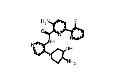 Nc1ccc(-c2ncccc2F)nc1C(=O)Nc1cnccc1N1CCC(N)C(O)C1